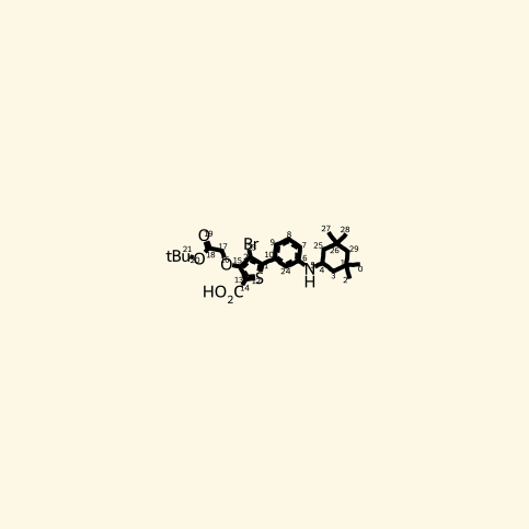 CC1(C)CC(Nc2cccc(-c3sc(C(=O)O)c(OCC(=O)OC(C)(C)C)c3Br)c2)CC(C)(C)C1